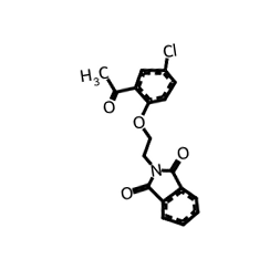 CC(=O)c1cc(Cl)ccc1OCCN1C(=O)c2ccccc2C1=O